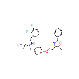 Cc1oc(-c2ccccc2)nc1CCOc1ccc(C[C@H](NCc2cccc(F)c2F)C(=O)O)cc1